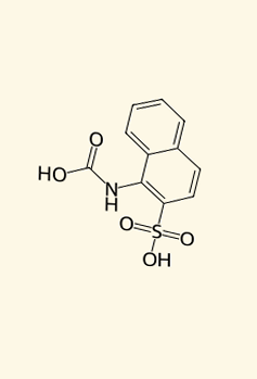 O=C(O)Nc1c(S(=O)(=O)O)ccc2ccccc12